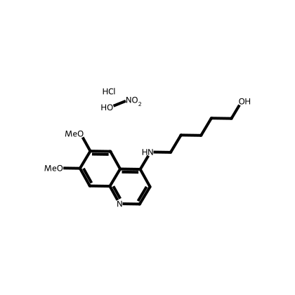 COc1cc2nccc(NCCCCCO)c2cc1OC.Cl.O=[N+]([O-])O